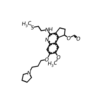 COc1cc2c3c(c(NCCSC)nc2cc1OCCCN1CCCC1)CCC3OC=O